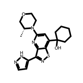 C[C@@H]1COCCN1c1cc(C2(O)CCCCC2)c2snc(-c3ccn[nH]3)c2n1